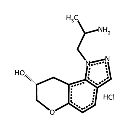 CC(N)Cn1ncc2ccc3c(c21)C[C@@H](O)CO3.Cl